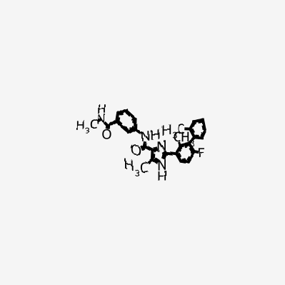 CNC(=O)c1cccc(NC(=O)c2nc(-c3ccc(F)c(-c4ccccc4C)c3C)[nH]c2C)c1